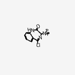 O=C1Nc2ccccc2C(Cl)=NC1N1P=P1